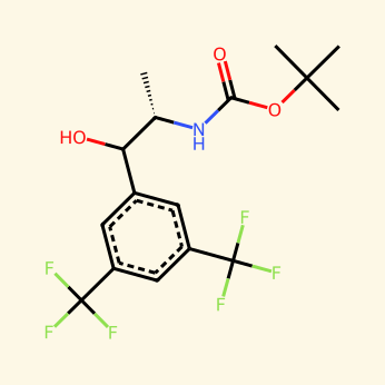 C[C@H](NC(=O)OC(C)(C)C)C(O)c1cc(C(F)(F)F)cc(C(F)(F)F)c1